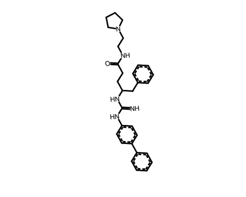 N=C(Nc1ccc(-c2ccccc2)cc1)NC(CCC(=O)NCCN1CCCC1)Cc1ccccc1